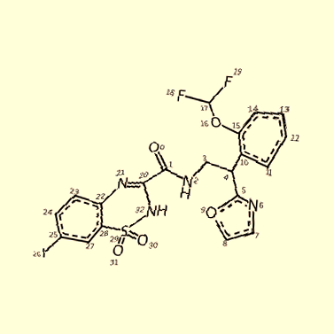 O=C(NCC(c1ncco1)c1ccccc1OC(F)F)C1=Nc2ccc(I)cc2S(=O)(=O)N1